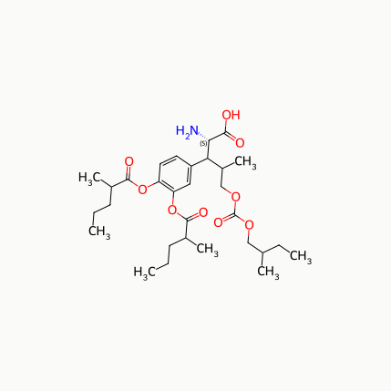 CCCC(C)C(=O)Oc1ccc(C(C(C)COC(=O)OCC(C)CC)[C@H](N)C(=O)O)cc1OC(=O)C(C)CCC